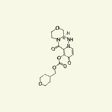 O=C(OCC1CCOCC1)Oc1c2n(ccc1=O)N[C@@H]1COCCN1C2=O